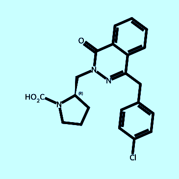 O=C(O)N1CCC[C@@H]1Cn1nc(Cc2ccc(Cl)cc2)c2ccccc2c1=O